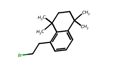 CC1(C)CCC(C)(C)c2c(CCBr)cccc21